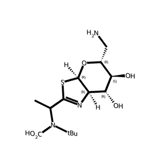 CC(C1=N[C@@H]2[C@@H](O)[C@H](O)[C@@H](CN)O[C@@H]2S1)N(C(=O)O)C(C)(C)C